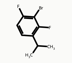 CC(C)c1ccc(F)c(Br)c1F